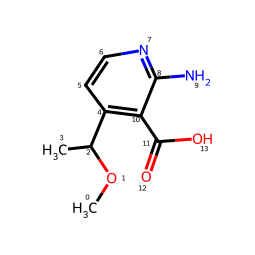 COC(C)c1ccnc(N)c1C(=O)O